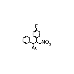 CC(=O)C(c1ccccc1)C(C[N+](=O)[O-])c1ccc(F)cc1